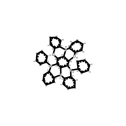 c1ccc(N2c3ccccc3B3c4ccccc4N(c4ccccc4)c4c5c6c(c2c43)Oc2ccccc2B6c2ccccc2O5)cc1